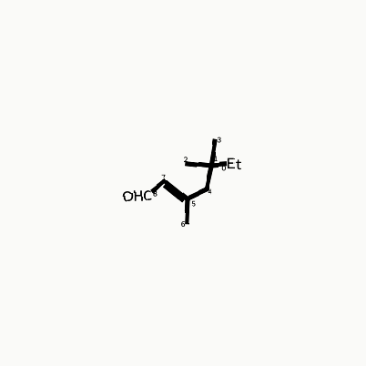 CCC(C)(C)CC(C)=CC=O